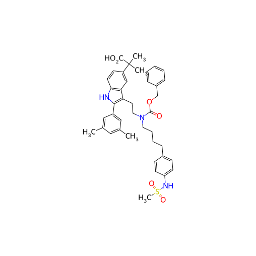 Cc1cc(C)cc(-c2[nH]c3ccc(C(C)(C)C(=O)O)cc3c2CCN(CCCCc2ccc(NS(C)(=O)=O)cc2)C(=O)OCc2ccccc2)c1